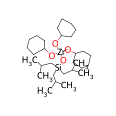 CC(C)C[Si](CC(C)C)(CC(C)C)[O][Zr]([O]C1CCCCC1)([O]C1CCCCC1)[O]C1CCCCC1